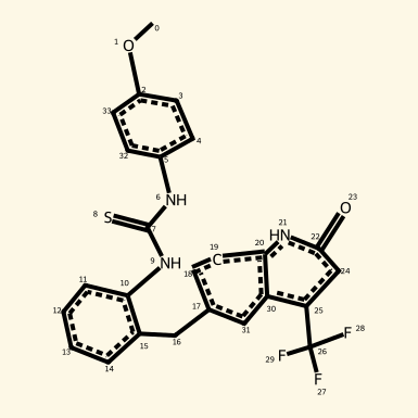 COc1ccc(NC(=S)Nc2ccccc2Cc2ccc3[nH]c(=O)cc(C(F)(F)F)c3c2)cc1